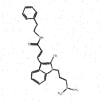 Cc1c(C=CC(=O)NCCc2ccccc2)c2ccccc2n1CCCN(C)C